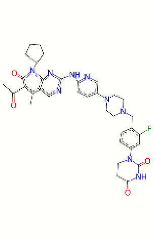 CC(=O)c1c(C)c2cnc(Nc3ccc(N4CCN(Cc5ccc(N6CCC(=O)NC6=O)cc5F)CC4)cn3)nc2n(C2CCCC2)c1=O